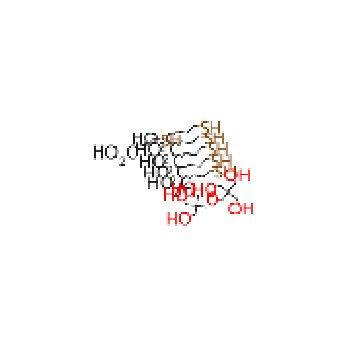 O=C(O)CCCS.O=C(O)CCCS.O=C(O)CCCS.O=C(O)CCCS.O=C(O)CCCS.O=C(O)CCCS.OCC(CO)(CO)COCC(CO)(CO)CO